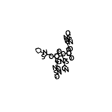 COc1cc(OC(c2csc(-c3cccnc3)n2)c2c(OC)cc(OCc3csc(C4CCCCC4)n3)c3cc(-c4cn5nc(OC)sc5n4)oc23)c2cc(-c3cn4nc(OC)sc4n3)oc2c1